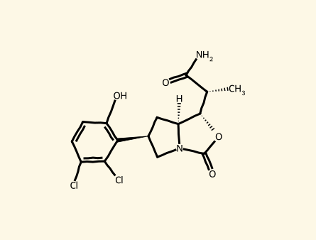 C[C@@H](C(N)=O)[C@@H]1OC(=O)N2C[C@@H](c3c(O)ccc(Cl)c3Cl)C[C@@H]12